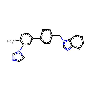 O=C(O)c1ccc(-c2ccc(Cn3cnc4ccccc43)cc2)cc1-n1ccnc1